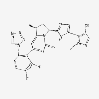 C[C@H]1C[C@@H](c2ncc(-c3c(C#N)cnn3C)[nH]2)n2c1cc(-c1c(-n3cnnn3)ccc(Cl)c1F)cc2=O